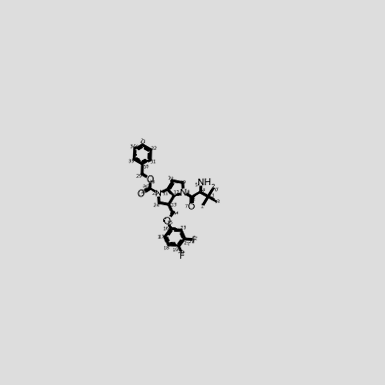 CC(C)(C)C(N)C(=O)N1CC=C2C1C(COc1ccc(F)c(F)c1)CN2C(=O)OCc1ccccc1